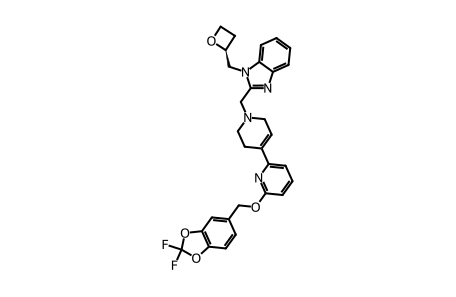 FC1(F)Oc2ccc(COc3cccc(C4=CCN(Cc5nc6ccccc6n5C[C@@H]5CCO5)CC4)n3)cc2O1